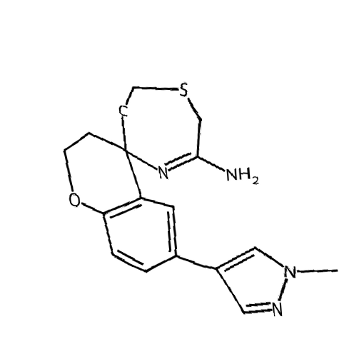 Cn1cc(-c2ccc3c(c2)C2(CCO3)CCSCC(N)=N2)cn1